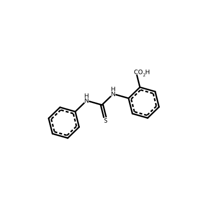 O=C(O)c1ccccc1NC(=S)Nc1ccccc1